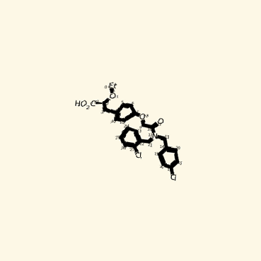 CCO[C@@H](Cc1ccc(OCC(=O)N(Cc2ccc(Cl)cc2)Cc2ccccc2Cl)cc1)C(=O)O